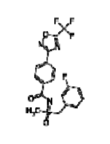 CS(=O)(Cc1cccc(F)c1)=NC(=O)c1ccc(-c2noc(C(F)(F)F)n2)cc1